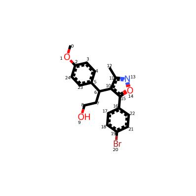 COc1ccc(C(CCO)c2c(C)noc2-c2ccc(Br)cc2)cc1